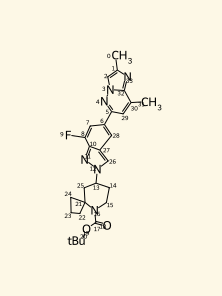 Cc1cn2nc(-c3cc(F)c4nn(C5CCN(C(=O)OC(C)(C)C)C6(CCC6)C5)cc4c3)cc(C)c2n1